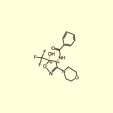 O=C(N[C@@H]1C(N2CCOCC2)=NO[C@@]1(O)C(F)(F)F)c1ccccc1